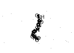 CC(=O)NC[C@H]1CN(c2ccc(C3CN=C(N4CCN(CC5(C)Cn6cc([N+](=O)[O-])nc6O5)CC4)S3)c(F)c2)C(=O)O1